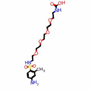 Cc1cc(N)ccc1S(=O)(=O)NCCOCCOCCOCCOCCNC(=O)O